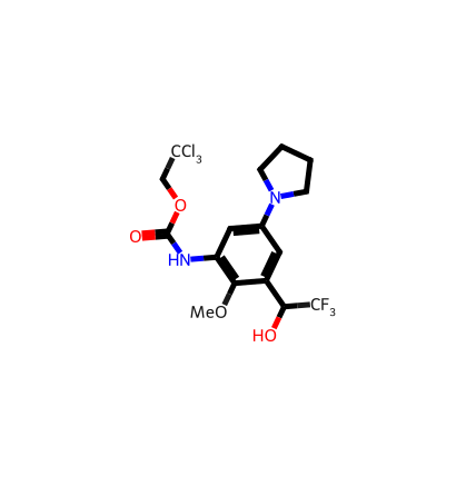 COc1c(NC(=O)OCC(Cl)(Cl)Cl)cc(N2CCCC2)cc1C(O)C(F)(F)F